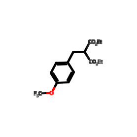 CCOC(=O)C(Cc1ccc(OC(F)(F)F)cc1)C(=O)OCC